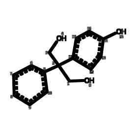 OCC(CO)(c1ccccc1)c1ccc(O)cc1